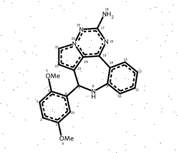 COc1ccc(OC)c(C2Nc3ccccc3-c3nc(N)nn4ccc2c34)c1